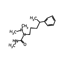 CNC(=O)N(CCCC(C)c1ccccc1)N(C)C